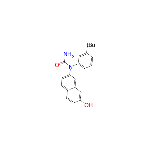 CC(C)(C)c1cccc(N(C(N)=O)c2ccc3ccc(O)cc3c2)c1